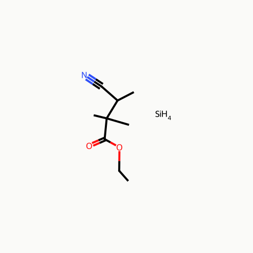 CCOC(=O)C(C)(C)C(C)C#N.[SiH4]